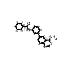 Nc1ncnc2ccc(-c3cccc(NC(=O)c4ccccc4)c3)cc12